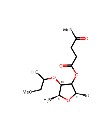 B[C@@H]1O[C@H](CC)C(OC(=O)CCC(=O)NC)[C@@H]1OC(C)COC